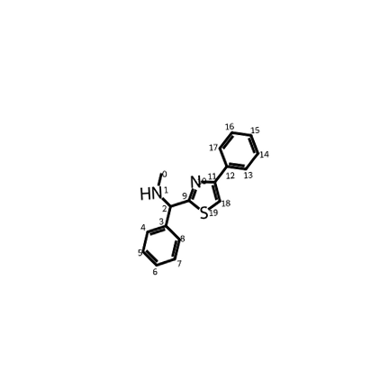 CNC(c1ccccc1)c1nc(-c2ccccc2)cs1